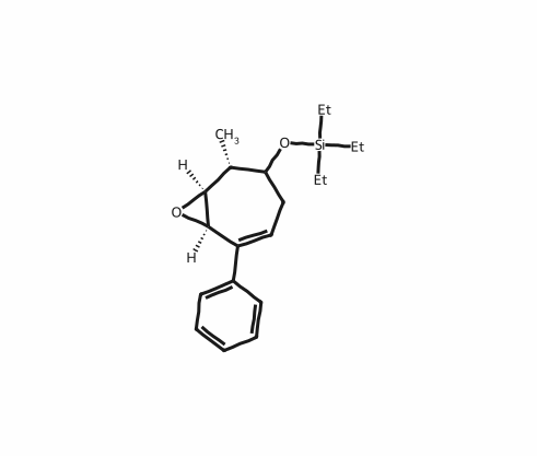 CC[Si](CC)(CC)OC1CC=C(c2ccccc2)[C@H]2O[C@H]2[C@@H]1C